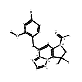 COc1cc(F)ccc1Cc1cc2c(n3ncnc13)C(C)(C)CN2C(C)=O